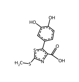 [CH2]Sc1nc(C(=O)O)c(-c2ccc(O)c(O)c2)s1